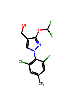 OCc1cn(-c2c(Cl)cc(C(F)(F)F)cc2Cl)nc1OC(F)F